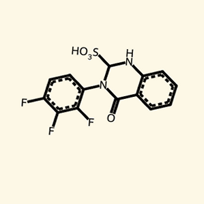 O=C1c2ccccc2NC(S(=O)(=O)O)N1c1ccc(F)c(F)c1F